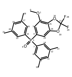 COc1cc(P(=O)(c2cc(C)cc(C)c2)c2cc(C)cc(C)c2)cc2c1OC(F)(F)O2